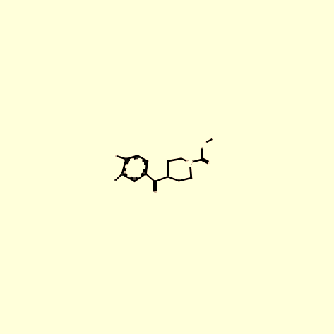 CC(C)(C)OC(=O)N1CCC(C(=O)c2ccc(Cl)c(Cl)c2)CC1